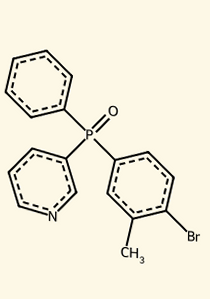 Cc1cc(P(=O)(c2ccccc2)c2cccnc2)ccc1Br